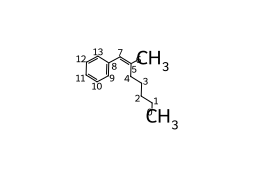 CCCCCC(C)=Cc1ccccc1